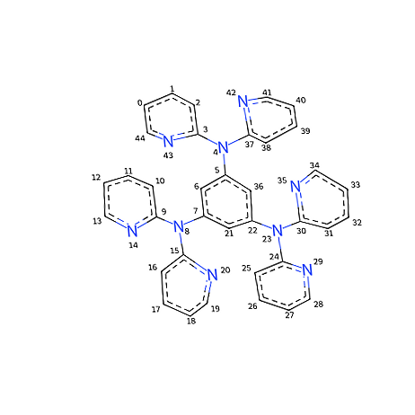 c1ccc(N(c2cc(N(c3ccccn3)c3ccccn3)cc(N(c3ccccn3)c3ccccn3)c2)c2ccccn2)nc1